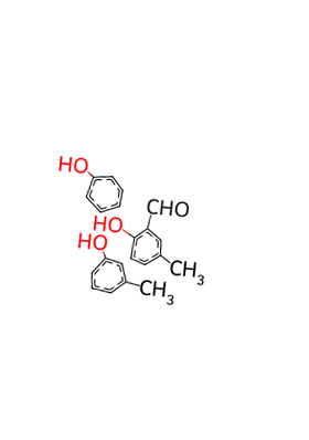 Cc1ccc(O)c(C=O)c1.Cc1cccc(O)c1.Oc1ccccc1